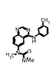 CNC(=O)N(C)c1ccc2ncnc(Nc3cccc(C)c3)c2c1